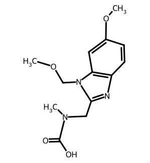 COCn1c(CN(C)C(=O)O)nc2ccc(OC)cc21